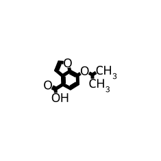 CC(C)Oc1ccc(C(=O)O)c2ccoc12